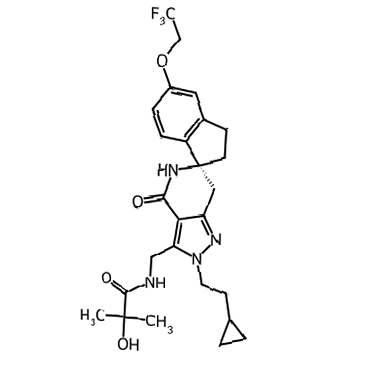 CC(C)(O)C(=O)NCc1c2c(nn1CCC1CC1)C[C@]1(CCc3cc(OCC(F)(F)F)ccc31)NC2=O